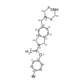 C=C(Oc1ccc(Br)cc1)N1Cc2ccc(CN3CCNCC3)cc2C1